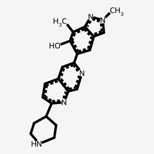 Cc1c(O)c(-c2cc3ccc(C4CCNCC4)nc3cn2)cc2cn(C)nc12